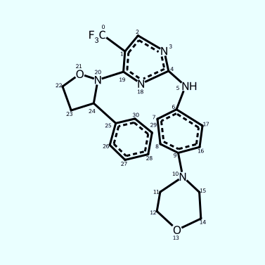 FC(F)(F)c1cnc(Nc2ccc(N3CCOCC3)cc2)nc1N1OCCC1c1ccccc1